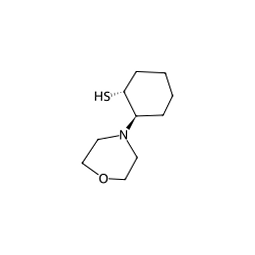 S[C@@H]1CCCC[C@H]1N1CCOCC1